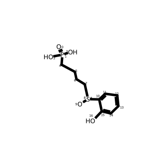 O=P(O)(O)CCCC[S+]([O-])c1ccccc1O